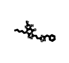 CCCCCn1c2nc(Br)[nH]c2c(=O)n2c(CCc3nc(Cc4ccccc4)no3)nnc12